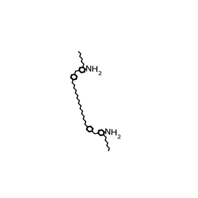 CCCCCCc1cc(Cc2ccc(CCCCCCCCCCCCCCCCCc3ccc(Cc4ccc(N)c(CCCCCC)c4)cc3)cc2)ccc1N